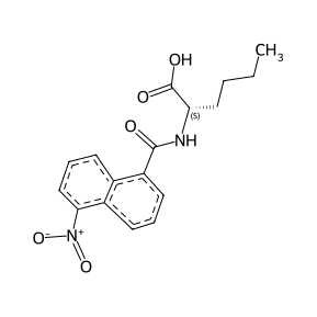 CCCC[C@H](NC(=O)c1cccc2c([N+](=O)[O-])cccc12)C(=O)O